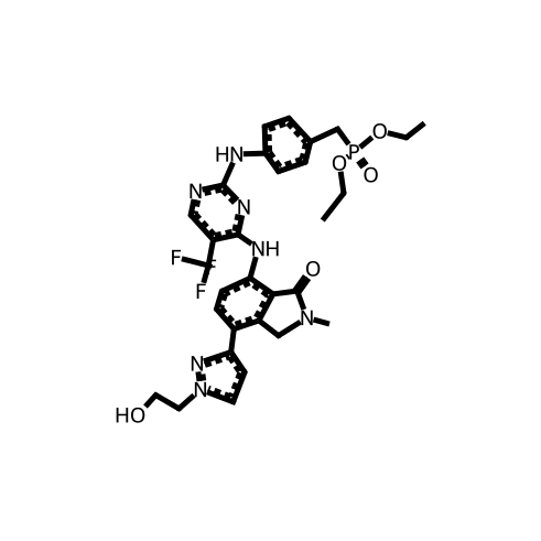 CCOP(=O)(Cc1ccc(Nc2ncc(C(F)(F)F)c(Nc3ccc(-c4ccn(CCO)n4)c4c3C(=O)N(C)C4)n2)cc1)OCC